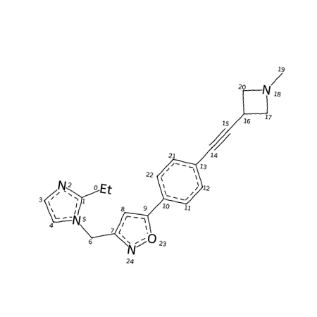 CCc1nccn1Cc1cc(-c2ccc(C#CC3CN(C)C3)cc2)on1